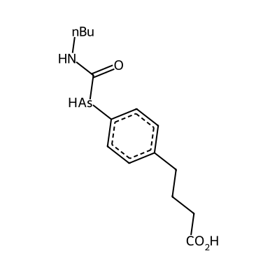 CCCCNC(=O)[AsH]c1ccc(CCCC(=O)O)cc1